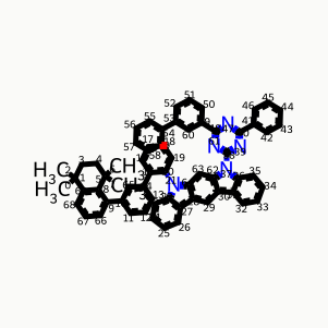 CC1(C)CCC(C)(C)c2c(-c3cccc(-c4ccccc4-n4c5ccccc5c5cc6c7ccccc7n(-c7nc(-c8ccccc8)nc(-c8cccc(-c9ccccc9)c8)n7)c6cc54)c3)cccc21